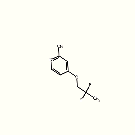 N#Cc1cc(OCC(F)(F)C(F)(F)F)ccn1